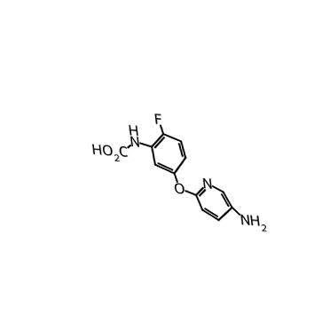 Nc1ccc(Oc2ccc(F)c(NC(=O)O)c2)nc1